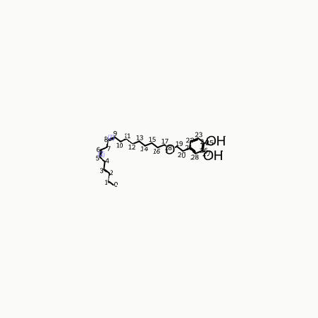 CCCCC/C=C\C/C=C\CCCCCCCCOCCc1ccc(O)c(O)c1